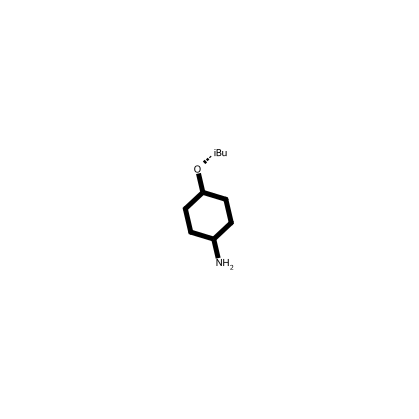 CC[C@@H](C)OC1CCC(N)CC1